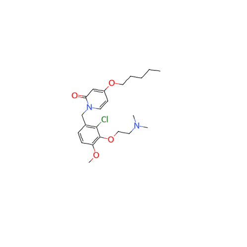 CCCCCOc1ccn(Cc2ccc(OC)c(OCCN(C)C)c2Cl)c(=O)c1